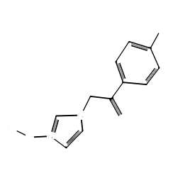 CCO[n+]1ccn(CC(=O)c2ccc(Cl)cc2)c1